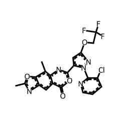 Cc1nc2cc3c(=O)oc(-c4cc(OCC(F)(F)F)nn4-c4ncccc4Cl)nc3c(C)c2o1